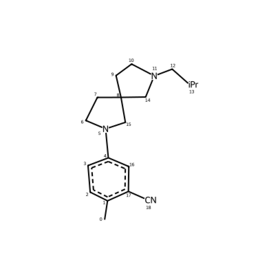 Cc1ccc(N2CCC3(CCN(CC(C)C)C3)C2)cc1C#N